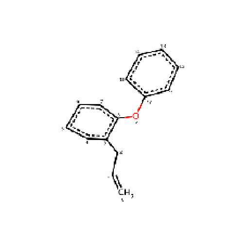 C=CCc1ccccc1Oc1ccccc1